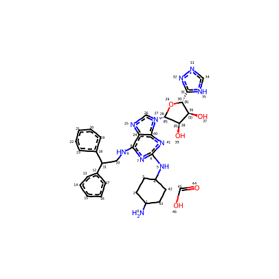 NC1CCC(Nc2nc(NCC(c3ccccc3)c3ccccc3)c3ncn([C@@H]4O[C@H](c5nnc[nH]5)[C@@H](O)[C@H]4O)c3n2)CC1.O=CO